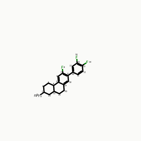 CCCC1CCC2c3cc(F)c(-c4ccc(F)c(F)c4)cc3CCC2C1